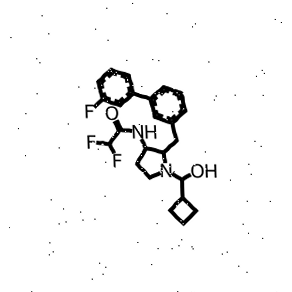 O=C(NC1CCN(C(O)C2CCC2)C1Cc1cccc(-c2cccc(F)c2)c1)C(F)F